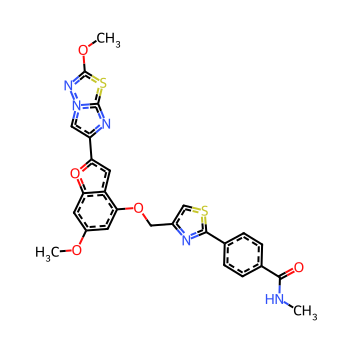 CNC(=O)c1ccc(-c2nc(COc3cc(OC)cc4oc(-c5cn6nc(OC)sc6n5)cc34)cs2)cc1